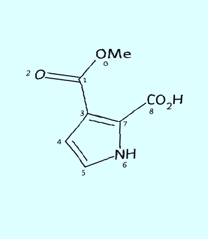 COC(=O)c1cc[nH]c1C(=O)O